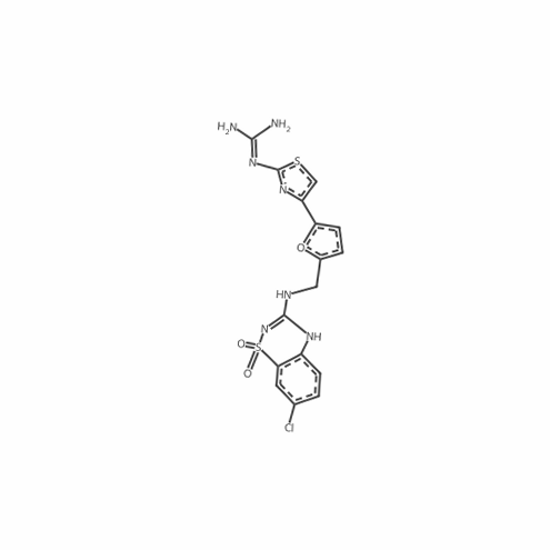 NC(N)=Nc1nc(-c2ccc(CNC3=NS(=O)(=O)c4cc(Cl)ccc4N3)o2)cs1